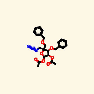 CC(=O)OC1O[C@](CN=[N+]=[N-])(COCc2ccccc2)[C@@H](OCc2ccccc2)[C@H]1OC(C)=O